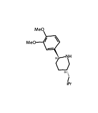 COc1ccc([C@@H]2CC[C@@H](CC(C)C)CN2)cc1OC